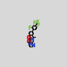 CC1c2cc(-c3ccc(C(F)(F)F)cc3F)ccc2OC(=O)N1Cc1ncccn1